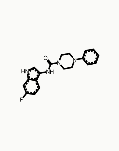 O=C(Nc1c[nH]c2cc(F)ccc12)N1CCN(c2ccccc2)CC1